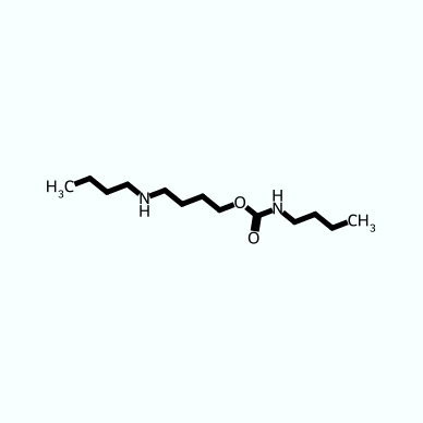 CCCCNCCCCOC(=O)NCCCC